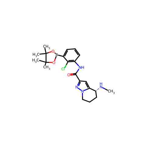 CN[C@@H]1CCCn2nc(C(=O)Nc3cccc(B4OC(C)(C)C(C)(C)O4)c3Cl)cc21